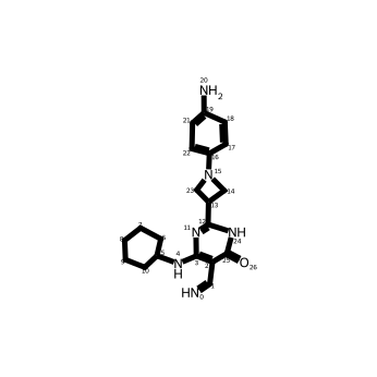 N=Cc1c(NC2CCCCC2)nc(C2CN(c3ccc(N)cc3)C2)[nH]c1=O